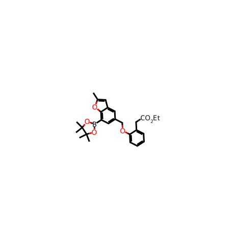 CCOC(=O)Cc1ccccc1OCc1cc(B2OC(C)(C)C(C)(C)O2)c2oc(C)cc2c1